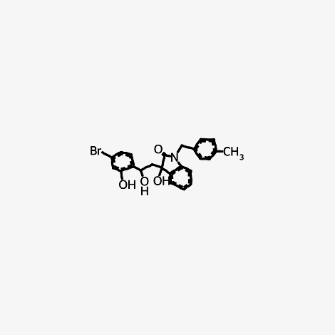 Cc1ccc(CN2C(=O)C(O)(CC(O)c3ccc(Br)cc3O)c3ccccc32)cc1